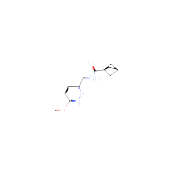 COc1ccc(CNC(=O)C23CC(C2)C3)nn1